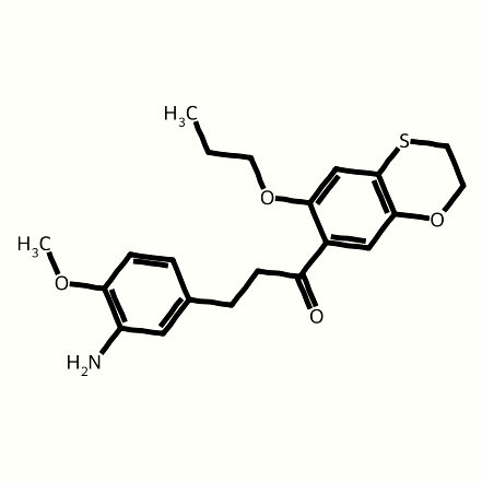 CCCOc1cc2c(cc1C(=O)CCc1ccc(OC)c(N)c1)OCCS2